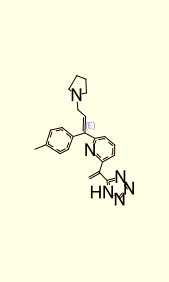 C=C(c1cccc(/C(=C/CN2CCCC2)c2ccc(C)cc2)n1)c1nnn[nH]1